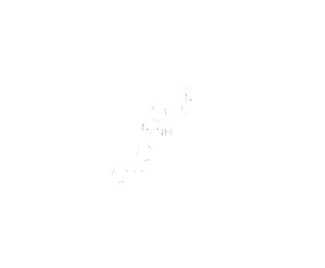 O=C(NCC1CC1)Oc1ccc2nc(-c3ccc(Oc4ccccc4)cc3)[nH]c2c1